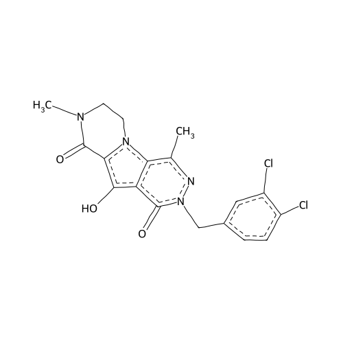 Cc1nn(Cc2ccc(Cl)c(Cl)c2)c(=O)c2c(O)c3n(c12)CCN(C)C3=O